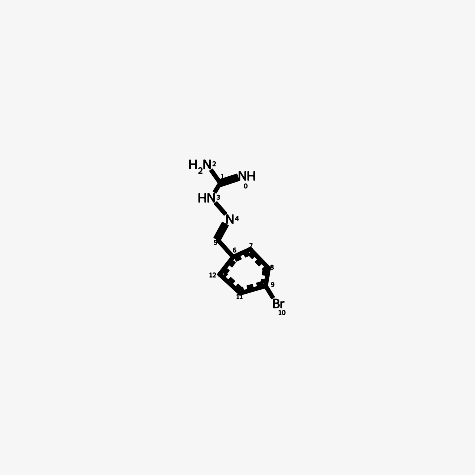 N=C(N)N/N=C/c1ccc(Br)cc1